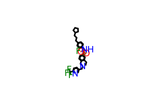 O=S(=O)(Nc1ccc(CCCC2CCCC2)cc1F)c1ccc2c(c1)CCN(Cc1ccc(C(F)(F)F)nc1)C2